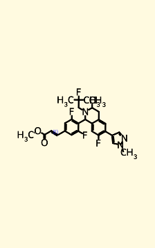 COC(=O)/C=C/c1cc(F)c(C2c3cc(F)c(-c4cnn(C)c4)cc3CC(C)N2CC(C)(C)F)c(F)c1